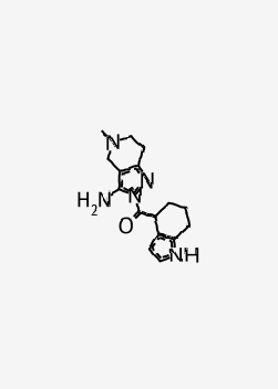 CN1CCc2nn(C(=O)C3CCCc4[nH]ccc43)c(N)c2C1